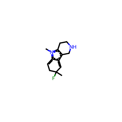 Cn1c2c(c3c1=CCC(C)(F)C=3)CNCC2